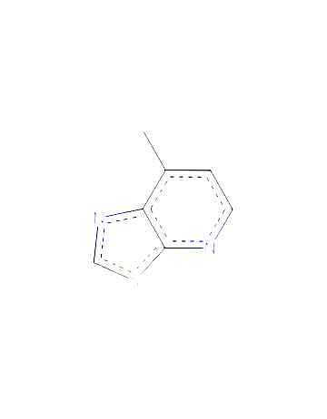 Cc1ccnc2scnc12